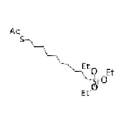 CCO[Si](CCCCCCCCCCSC(C)=O)(OCC)OCC